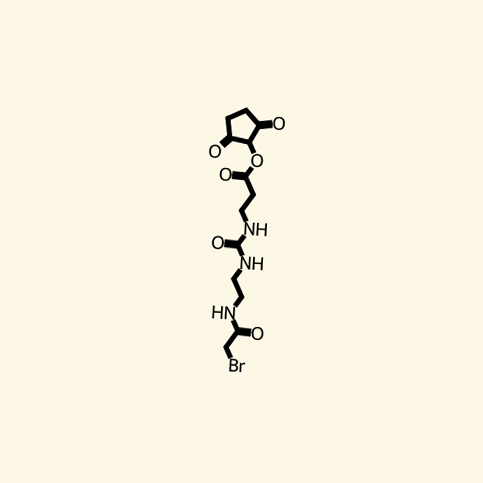 O=C(CBr)NCCNC(=O)NCCC(=O)OC1C(=O)CCC1=O